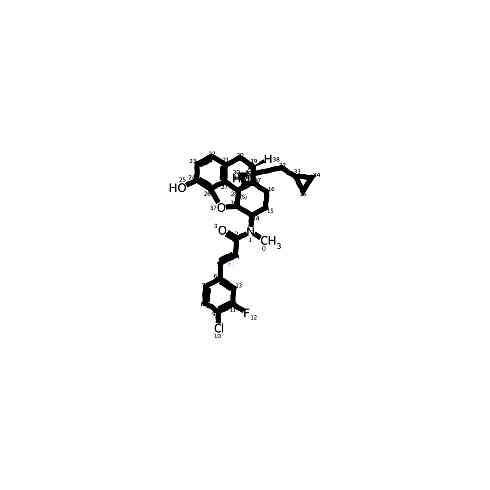 CN(C(=O)/C=C/c1ccc(Cl)c(F)c1)C1CC[C@@]2(O)[C@H]3Cc4ccc(O)c5c4[C@@]2(CCN3CC2CC2)C1O5